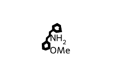 COc1cccc(CC(N)Cc2ccccc2)c1